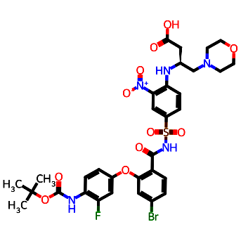 CC(C)(C)OC(=O)Nc1ccc(Oc2cc(Br)ccc2C(=O)NS(=O)(=O)c2ccc(N[C@@H](CC(=O)O)CN3CCOCC3)c([N+](=O)[O-])c2)cc1F